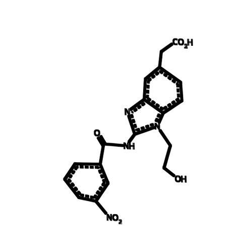 O=C(O)Cc1ccc2c(c1)nc(NC(=O)c1cccc([N+](=O)[O-])c1)n2CCO